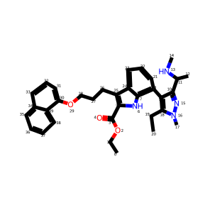 CCOC(=O)c1[nH]c2c(-c3c(C(C)NC)nn(C)c3CC)cccc2c1CCCOc1cccc2ccccc12